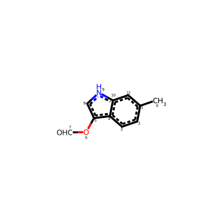 Cc1ccc2c(OC=O)c[nH]c2c1